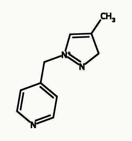 CC1=C[N+](Cc2ccncc2)=NC1